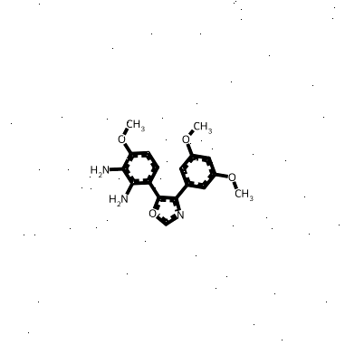 COc1cc(OC)cc(-c2ncoc2-c2ccc(OC)c(N)c2N)c1